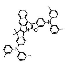 Cc1cccc(N(c2cccc(C)c2)c2ccc3c(c2)C(C)(C)c2c-3n3c4oc5cc(N(c6cccc(C)c6)c6cccc(C)c6)ccc5c4c4c5ccccc5cc2c43)c1